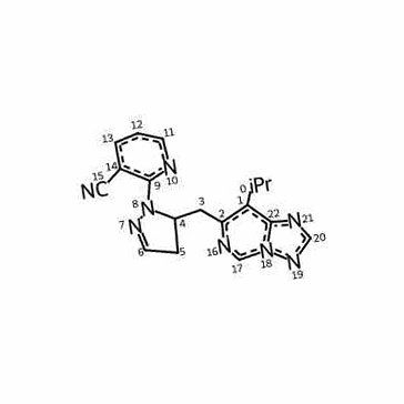 CC(C)c1c(CC2CC=NN2c2ncccc2C#N)ncn2ncnc12